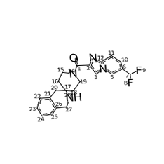 O=C(c1cn2cc(C(F)F)ccc2n1)N1CCC2(CC1)Cc1ccccc1CN2